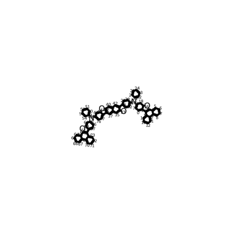 C1=C2c3c(c4ccccc4c4ccccc34)OC2CC(N(c2ccccc2)c2ccc3c(c2)oc2cc4cc5c(cc4cc23)oc2cc(N(c3ccccc3)c3ccc4c(c3)oc3c6ccccc6c6ccccc6c43)ccc25)=C1